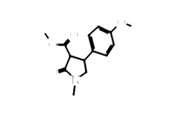 COC(=O)C1C(=O)N(C)CC1c1ccc(OC)cc1